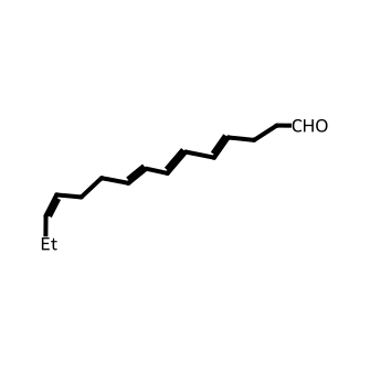 CC/C=C\CC/C=C/C=C/C=C/CCC=O